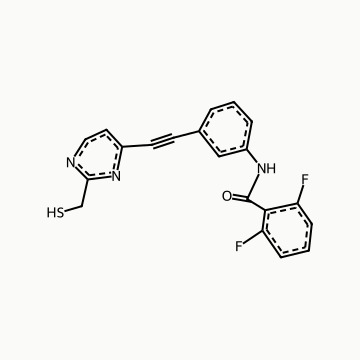 O=C(Nc1cccc(C#Cc2ccnc(CS)n2)c1)c1c(F)cccc1F